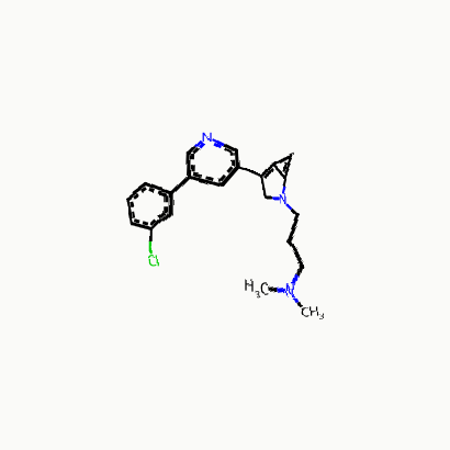 CN(C)CCCN1CC(c2cncc(-c3cccc(Cl)c3)c2)=C2C=C21